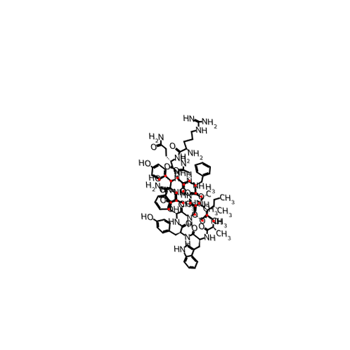 CC[C@H](C)[C@H](NC(=O)[C@H](Cc1c[nH]c2ccccc12)NC(=O)[C@H](Cc1ccccc1)NC(=O)[C@H](Cc1ccc(O)cc1)NC(=O)[C@H](CCC(N)=O)NC(=O)[C@@H](N)CCCNC(=N)N)C(=O)N[C@@H](C)C(=O)N[C@@H](Cc1c[nH]c2ccccc12)C(=O)N[C@@H](Cc1ccc(O)cc1)C(=O)N[C@@H](CCCCN)C(=O)N[C@@H](CC(C)C)C(=O)N[C@@H](C)C(=O)N[C@@H](CC(N)=O)C(=O)N[C@@H](CO)C(=O)N[C@@H](C)C(=O)O